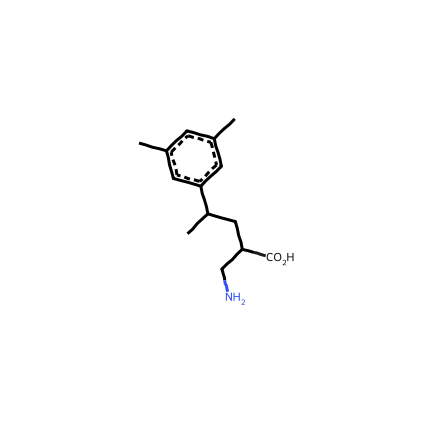 Cc1cc(C)cc(C(C)CC(CN)C(=O)O)c1